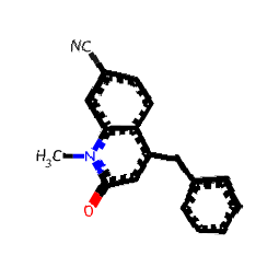 Cn1c(=O)cc(Cc2ccccc2)c2ccc(C#N)cc21